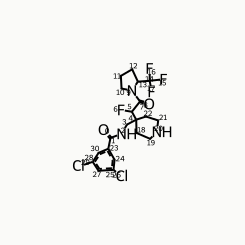 O=C(NCC1(C(F)C(=O)N2CCCC2C(F)(F)F)CCNCC1)c1cc(Cl)cc(Cl)c1